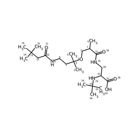 CC(COC(C)(C)CCNC(=O)CC(C)(C)C)C(=O)NCC(NC(C)(C)C)C(=O)O